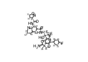 Cc1cnc2c(NC(=O)c3ccon3)cc(C(=O)NC[C@](O)(c3cc4c(c(-c5ccc(F)cc5)n3)OC[C@]4(C)C(N)=O)C(F)(F)F)cc2c1